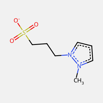 Cn1ccc[n+]1CCCS(=O)(=O)[O-]